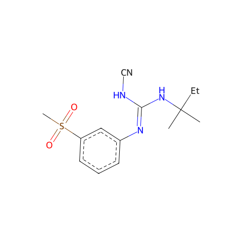 CCC(C)(C)N/C(=N/c1cccc(S(C)(=O)=O)c1)NC#N